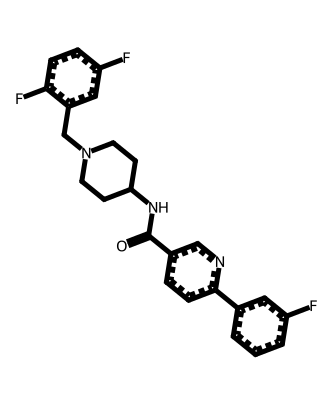 O=C(NC1CCN(Cc2cc(F)ccc2F)CC1)c1ccc(-c2cccc(F)c2)nc1